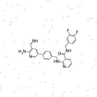 N=Cc1cc(-c2ccc(CNc3ncccc3C(=O)NCc3ccc(F)c(F)c3)cc2)cnc1N